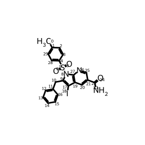 Cc1ccc(S(=O)(=O)n2c(Cc3ccccc3)c(I)c3cc(C(N)=O)cnc32)cc1